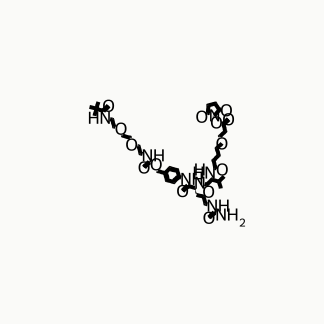 CC(C)[C@@H](NC(=O)CCCOCCC(=O)ON1C(=O)CCC1=O)C(=O)N[C@H](CCCNC(N)=O)C(=O)Nc1ccc(COC(=O)NCCOCCOCCNC(=O)C(C)(C)C)cc1